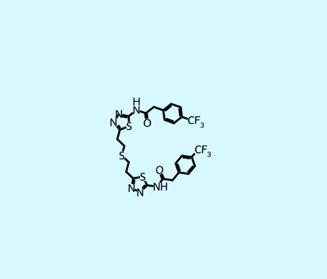 O=C(Cc1ccc(C(F)(F)F)cc1)Nc1nnc(CCSCCc2nnc(NC(=O)Cc3ccc(C(F)(F)F)cc3)s2)s1